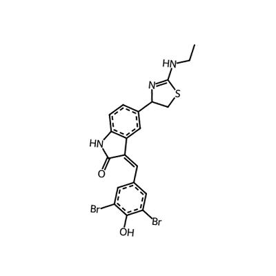 CCNC1=NC(c2ccc3c(c2)/C(=C/c2cc(Br)c(O)c(Br)c2)C(=O)N3)CS1